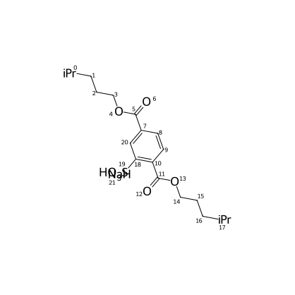 CC(C)CCCOC(=O)c1ccc(C(=O)OCCCC(C)C)c(S(=O)(=O)O)c1.[NaH]